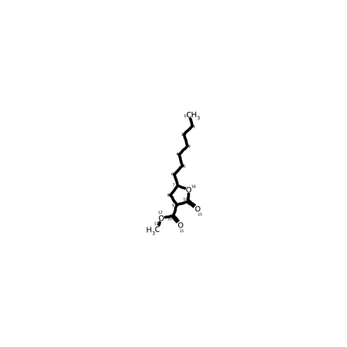 CCCCCCCC1CC(C(=O)OC)C(=O)O1